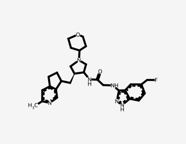 Cc1cc2c(cn1)C(C[C@H]1CN(C3CCOCC3)CC1NC(=O)CNc1n[nH]c3ccc(CF)cc13)CC2